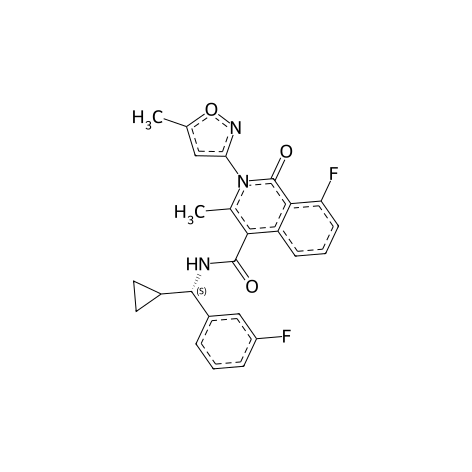 Cc1cc(-n2c(C)c(C(=O)N[C@H](c3cccc(F)c3)C3CC3)c3cccc(F)c3c2=O)no1